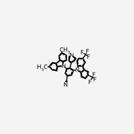 Cc1ccc2c(c1)c1cc(C)ccc1n2-c1cc(C#N)cc(-n2c3ccc(C(F)(F)F)cc3c3cc(C(F)(F)F)ccc32)c1-c1ccncc1